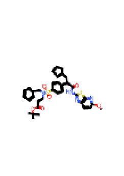 COc1ccc2nc(NC(=O)C(CC3CCCC3)c3ccc(S(=O)(=O)N(CCC(=O)OC(C)(C)C)Cc4ccccc4)cc3)sc2n1